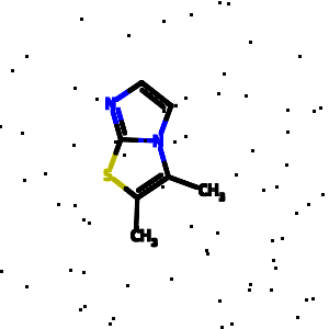 Cc1sc2nc[c]n2c1C